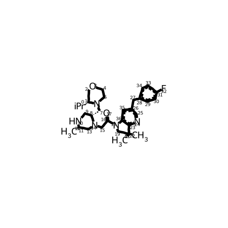 CC(C)[C@@H]1COCCN1C[C@H]1CN[C@H](C)CN1CC(=O)N1CC(C)(C)c2ncc(Cc3ccc(F)cc3)cc21